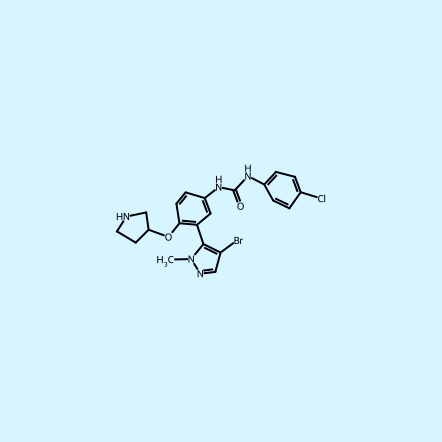 Cn1ncc(Br)c1-c1cc(NC(=O)Nc2ccc(Cl)cc2)ccc1OC1CCNC1